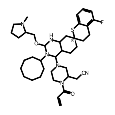 C=CC(=O)N1CCN(C2C3CC[C@@]4(CCc5c(F)cccc5S4)CC3NC(OCC3CCCN3C)N2C2CCCCCCC2)CC1CC#N